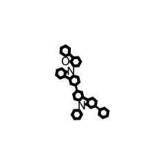 c1ccc(-c2ccc3c4cc(-c5ccc6c(c5)c5ccccc5n6-c5cccc6c5oc5ccccc56)ccc4n(-c4ccccc4)c3c2)cc1